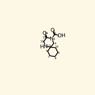 O=C(O)N1CC2(CCCCC2)NCC1=O